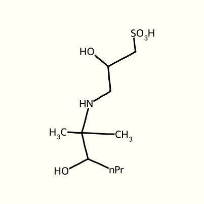 CCCC(O)C(C)(C)NCC(O)CS(=O)(=O)O